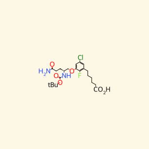 CC(C)(C)OC(=O)N[C@@H](CCC(N)=O)COc1cc(Cl)cc(CCCCCC(=O)O)c1F